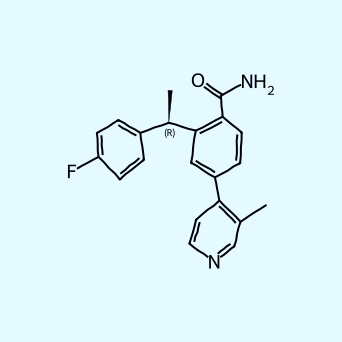 Cc1cnccc1-c1ccc(C(N)=O)c([C@H](C)c2ccc(F)cc2)c1